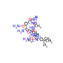 Cc1nc(-c2ccc(C(C)(C)C)cc2)nc(C)c1C(=O)NC(CCN)C(=O)N(C)C1C(=O)NC(C)C(=O)NC(C(=O)NCC#N)Cc2ccc(OCCN)c(c2)-c2cc1ccc2CN